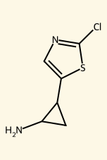 NC1CC1c1cnc(Cl)s1